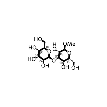 COC1O[C@H](CO)[C@H](O)[C@H](OC2O[C@H](CO)[C@H](O)[C@H](O)[C@@H]2O)[C@@H]1O